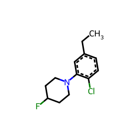 CCc1ccc(Cl)c(N2CCC(F)CC2)c1